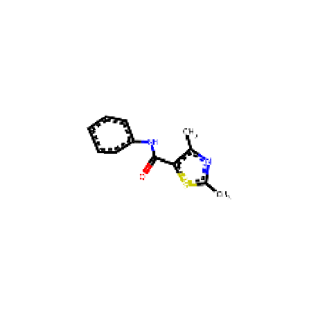 Cc1nc(C)c(C(=O)Nc2c[c]ccc2)s1